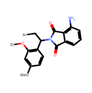 CCOc1cc(OC)ccc1C(CC(C)=O)N1C(=O)c2cccc(N)c2C1=O